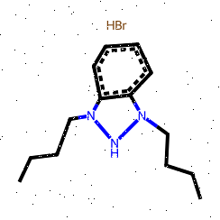 Br.CCCCN1NN(CCCC)c2ccccc21